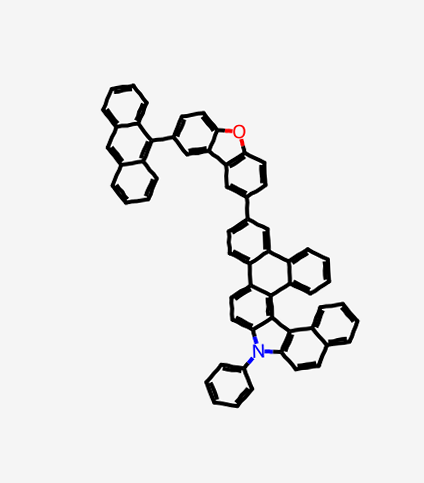 c1ccc(-n2c3ccc4ccccc4c3c3c4c5ccccc5c5cc(-c6ccc7oc8ccc(-c9c%10ccccc%10cc%10ccccc9%10)cc8c7c6)ccc5c4ccc32)cc1